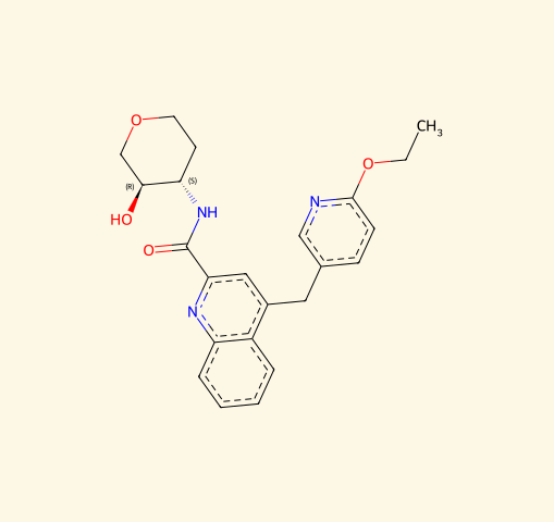 CCOc1ccc(Cc2cc(C(=O)N[C@H]3CCOC[C@@H]3O)nc3ccccc23)cn1